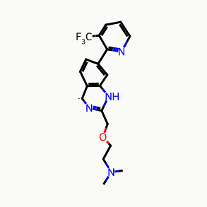 CN(C)CCOCC1=N[CH]c2ccc(-c3ncccc3C(F)(F)F)cc2N1